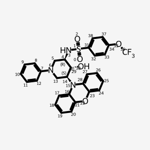 O=S(=O)(N[C@@H]1CN(c2ccccc2)C[C@H](N2c3ccccc3Oc3ccccc32)[C@H]1O)c1ccc(OC(F)(F)F)cc1